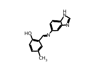 Cc1ccc(O)c(/C=N/c2ccc3[nH]cnc3c2)c1